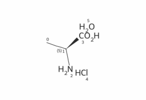 C[C@H](N)C(=O)O.Cl.O